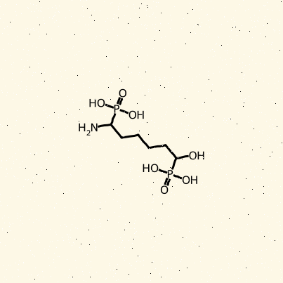 NC(CCCCC(O)P(=O)(O)O)P(=O)(O)O